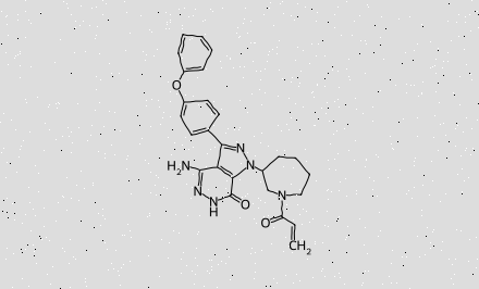 C=CC(=O)N1CCCCC(n2nc(-c3ccc(Oc4ccccc4)cc3)c3c(N)n[nH]c(=O)c32)C1